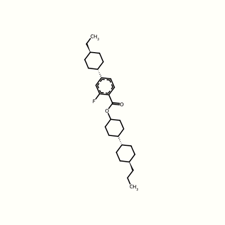 CCC[C@H]1CC[C@H](C2CCC(OC(=O)c3ccc([C@H]4CC[C@H](CC)CC4)cc3F)CC2)CC1